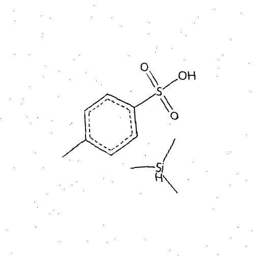 C[SiH](C)C.Cc1ccc(S(=O)(=O)O)cc1